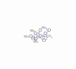 Cc1cc(C(C)(C)C)ccc1N1c2ccc(C(C)(C)C)cc2B2c3ccc(N4c5ccc(-c6ccccn6)cc5C5(C)CCc6ccccc6C45C)cc3N(c3ccc(C(C)(C)C)cc3)c3cc(C(C)(C)C)cc1c32